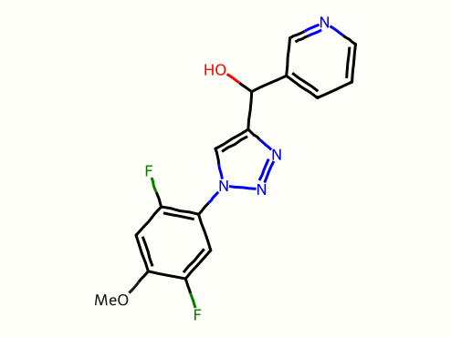 COc1cc(F)c(-n2cc(C(O)c3cccnc3)nn2)cc1F